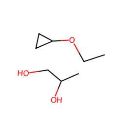 CC(O)CO.CCOC1CC1